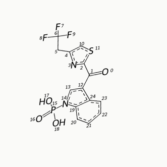 O=C(c1nc(CC(F)(F)F)cs1)c1cn(P(=O)(O)O)c2ccccc12